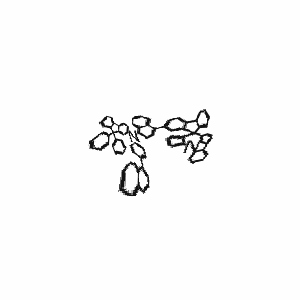 c1ccc(C2(c3ccccc3)c3ccccc3-c3ccc(N(c4ccc(-c5cccc6ccccc56)cc4)c4ccc(-c5ccc6c(c5)C5(c7ccccc7-6)c6ccccc6-n6c7ccccc7c7cccc5c76)c5ccccc45)cc32)cc1